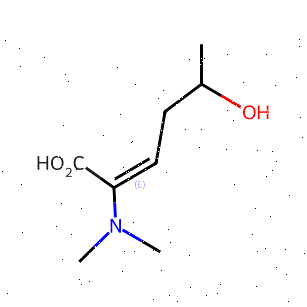 CC(O)C/C=C(\C(=O)O)N(C)C